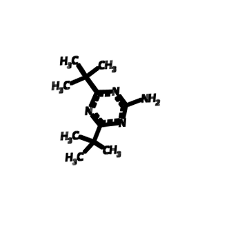 CC(C)(C)c1nc(N)nc(C(C)(C)C)n1